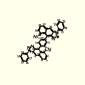 N#Cc1cccc2cc3c(nnn3-c3ccccc3)c(-c3ccc(-c4c5nnn(-c6ccccc6)c5cc5cccc(C#N)c45)cc3)c12